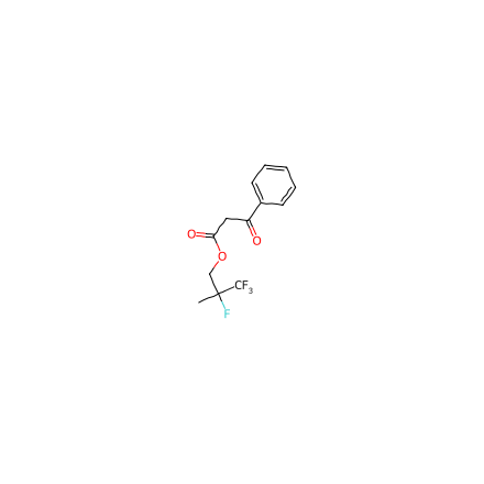 CC(F)(COC(=O)CC(=O)c1ccccc1)C(F)(F)F